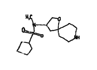 CN(C1COC2(CCNCC2)C1)S(=O)(=O)C1CCCC1